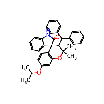 CC(C)Oc1ccc2c(c1)OC(C)(C)C(C(c1ccccc1)c1ccccc1)[C@]21C(=O)Nc2ccccc21